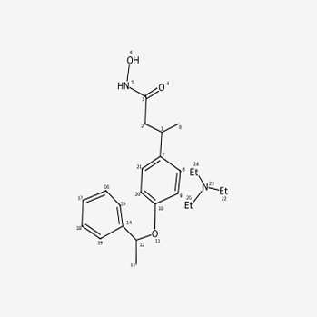 CC(CC(=O)NO)c1ccc(OC(C)c2ccccc2)cc1.CCN(CC)CC